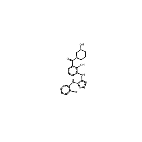 O=C(c1cccc(Nc2nsnc2Nc2ccccc2Br)c1O)N1CCCC(O)C1